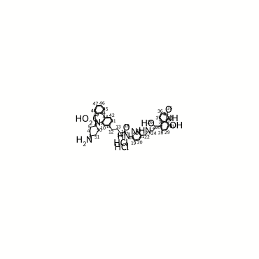 Cl.Cl.NC1CCC(N(C(=O)O)c2cc(CCCC(=O)Nc3ccc(CNC[C@H](O)c4ccc(O)c5[nH]c(=O)ccc45)cn3)ccc2-c2ccccc2)CC1